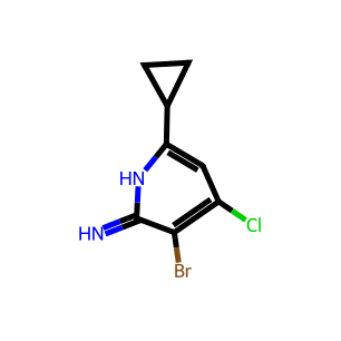 N=c1[nH]c(C2CC2)cc(Cl)c1Br